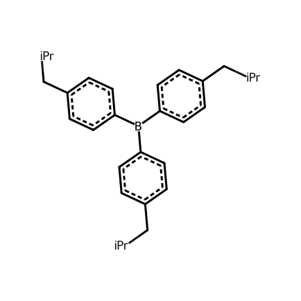 CC(C)Cc1ccc(B(c2ccc(CC(C)C)cc2)c2ccc(CC(C)C)cc2)cc1